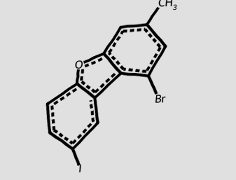 Cc1cc(Br)c2c(c1)oc1ccc(I)cc12